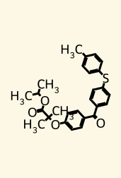 Cc1ccc(Sc2ccc(C(=O)c3ccc(OC(C)(C)C(=O)OC(C)C)cc3)cc2)cc1